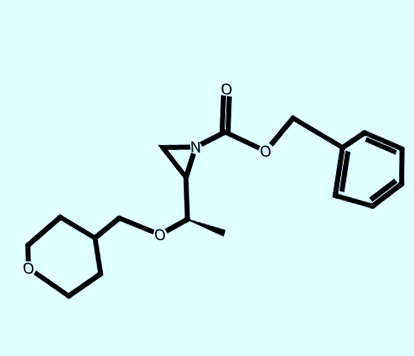 C[C@@H](OCC1CCOCC1)C1CN1C(=O)OCc1ccccc1